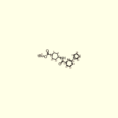 CC(C)(C)OC(=O)N1CCC(NC(=O)c2cccc(-n3ccnc3)n2)CC1